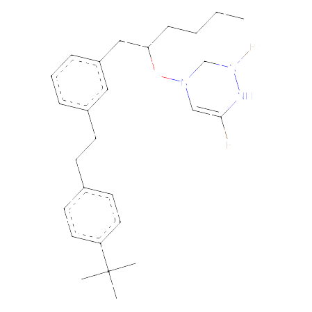 CCCCC(Cc1cccc(CCc2ccc(C(C)(C)C)cc2)c1)ON1C=C(Br)NN(Br)C1